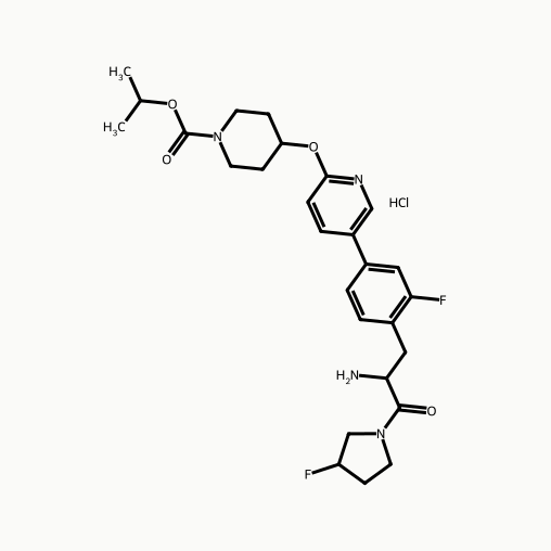 CC(C)OC(=O)N1CCC(Oc2ccc(-c3ccc(CC(N)C(=O)N4CCC(F)C4)c(F)c3)cn2)CC1.Cl